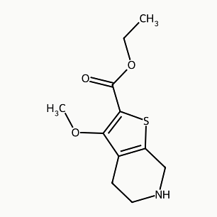 CCOC(=O)c1sc2c(c1OC)CCNC2